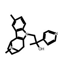 Cc1ccc2c(c1)c1c(n2CC(C)(O)c2ccncc2)CC2CCC1N2C